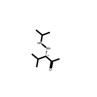 CC(=O)[C@@H](NNC(C)C)C(C)C